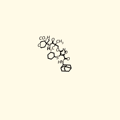 CC(C)(COc1noc(C(=O)NC2C3CC4CC(C3)CC2C4)c1SC1CCCCC1)C(=O)NC1(CC(=O)O)CCOCC1